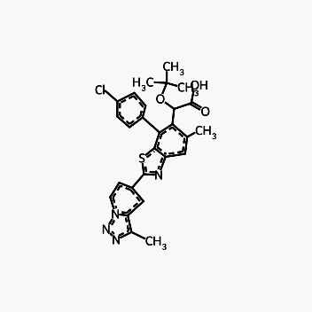 Cc1cc2nc(-c3ccn4nnc(C)c4c3)sc2c(-c2ccc(Cl)cc2)c1C(OC(C)(C)C)C(=O)O